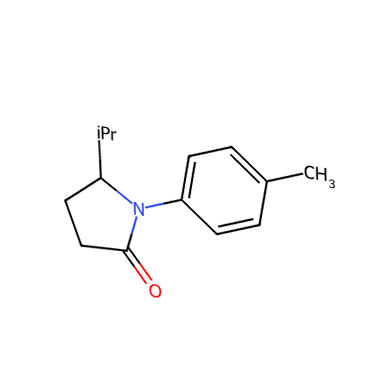 Cc1ccc(N2C(=O)CCC2C(C)C)cc1